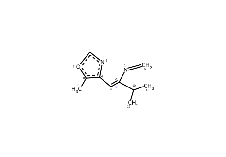 C=N/C(=C\c1ncoc1C)C(C)C